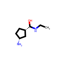 CCNC(O)[C@H]1CC[C@@H](N)C1